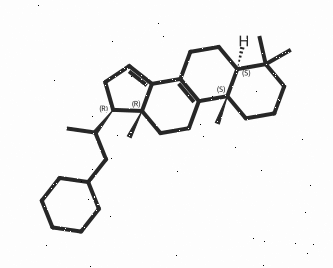 CC(CC1CCCCC1)[C@H]1CC=C2C3=C(CC[C@@]21C)[C@@]1(C)CCCC(C)(C)[C@@H]1CC3